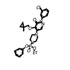 CCOP(=O)(Oc1ccccc1)N1CCN(c2cnn(-c3cccc(Cl)c3)c(=O)c2OCC2(C)CC2)CC1